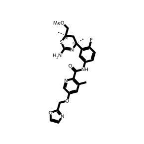 COC[C@@]1(C)C[C@@](C)(c2cc(NC(=O)c3ncc(OCc4ncco4)cc3C)ccc2F)N=C(N)S1